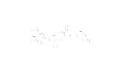 Nc1nn(-c2cc(Cl)c(Oc3cc(-c4ccn5cncc5c4)c(=O)[nH]n3)c(Cl)c2)c(=O)[nH]c1=O